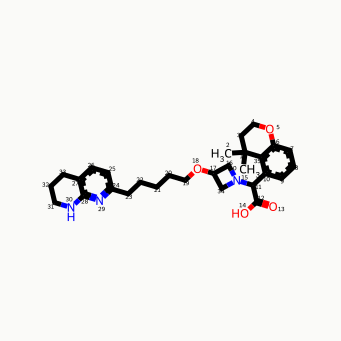 CC1(C)CCOc2cccc(C(C(=O)O)N3CC(OCCCCCc4ccc5c(n4)NCCC5)C3)c21